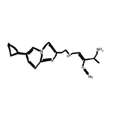 CC(N)/C(=C/NCc1cn2cc(C3CC3)ccc2n1)N=N